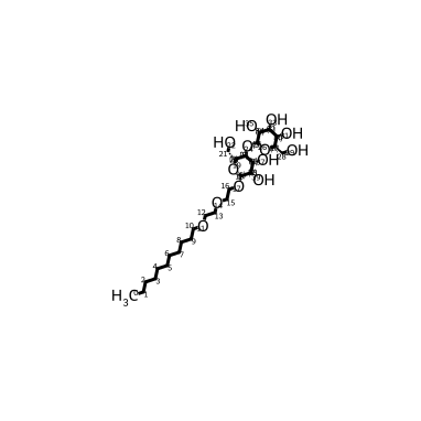 CCCCCCCCCCCOCCOCCO[C@H]1O[C@H](CO)[C@@H](O[C@@H]2O[C@H](CO)[C@H](O)[C@H](O)[C@H]2O)[C@H](O)[C@H]1O